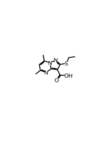 CCSc1nn2c(C)cc(C)nc2c1C(=O)O